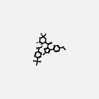 COc1ccc(-c2cn(C)nc2C(=O)N2CC(F)(F)O[C@@H](C)[C@H]2CNc2cnc(C(F)(F)F)cn2)nc1